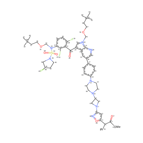 COC(=O)C(c1cc(N2CC(N3CCN(c4ccc(-c5cnc6c(c5)c(C(=O)c5c(F)ccc(N(COCC[Si](C)(C)C)S(=O)(=O)N7CC[C@@H](F)C7)c5F)cn6COCC[Si](C)(C)C)cc4)CC3)C2)no1)C(C)C